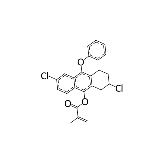 C=C(C)C(=O)Oc1c2c(c(Oc3ccccc3)c3cc(Cl)ccc13)CCC(Cl)C2